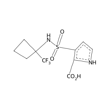 O=C(O)c1[nH]ccc1S(=O)(=O)NC1(C(F)(F)F)CCC1